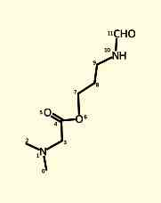 CN(C)CC(=O)OCCCNC=O